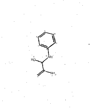 C=C(N)C(O)Nc1ccccc1